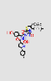 CC(=O)OCC1=C(C(=O)O)N2C(=O)C(NC(=O)C(NC(=O)c3ccc(-c4ccc(C)cc4)nc3O)c3ccc(O)cc3)[C@H]2SC1